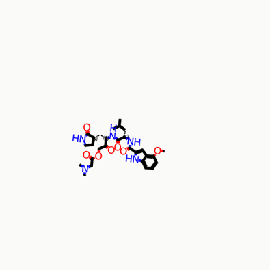 COc1cccc2[nH]c(C(=O)N[C@@H](CC(C)C)C(=O)N[C@@H](C[C@@H]3CCNC3=O)C(=O)COC(=O)CN(C)C)cc12